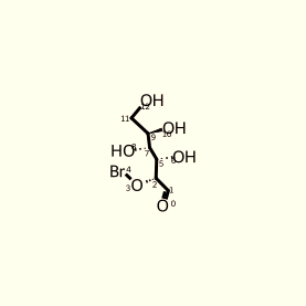 O=C[C@H](OBr)[C@@H](O)[C@H](O)[C@H](O)CO